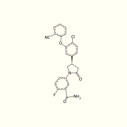 N#Cc1ccccc1Oc1cc([C@H]2CC(=O)N(c3ccc(F)c(C(N)=O)c3)C2)ccc1Cl